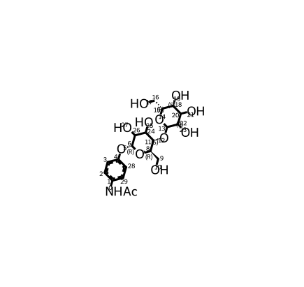 CC(=O)Nc1ccc(O[C@H]2O[C@H](CO)[C@@H](OC3O[C@H](CO)[C@@H](O)C(O)[C@H]3O)C(O)C2O)cc1